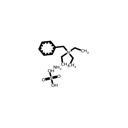 CC[N+](CC)(CC)Cc1ccccc1.N.O=S(=O)(O)O